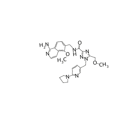 COCc1nc(C(=O)NCc2ccc3c(N)nccc3c2OC)nn1Cc1ccc(N2CCCC2)nc1